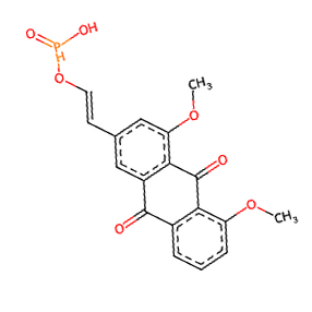 COc1cccc2c1C(=O)c1c(OC)cc(C=CO[PH](=O)O)cc1C2=O